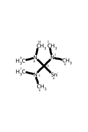 CN(C)[C]([Sn])(N(C)C)N(C)C